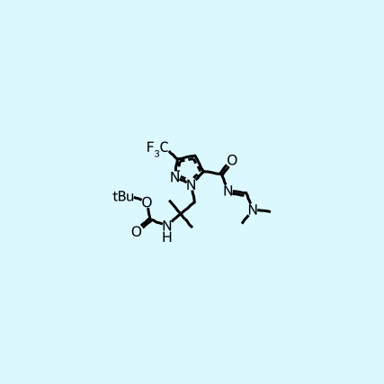 CN(C)C=NC(=O)c1cc(C(F)(F)F)nn1CC(C)(C)NC(=O)OC(C)(C)C